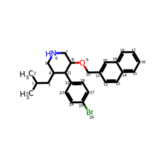 CC(C)CC1CNCC(OCc2ccc3ccccc3c2)C1c1ccc(Br)cc1